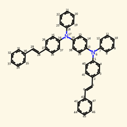 C(=Cc1ccc(N(c2ccccc2)c2ccc(N(c3ccccc3)c3ccc(C=Cc4ccccc4)cc3)cc2)cc1)c1ccccc1